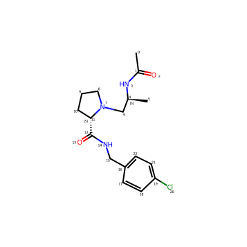 CC(=O)N[C@@H](C)CN1CCC[C@H]1C(=O)NCc1ccc(Cl)cc1